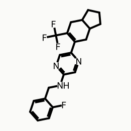 Fc1ccccc1CNc1cnc(C2=C(C(F)(F)F)CC3CCCC3C2)cn1